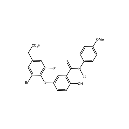 CCN(C(=O)c1cc(Oc2c(Br)cc(CC(=O)O)cc2Br)ccc1O)c1ccc(OC)cc1